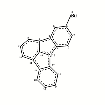 CCC(C)c1ccc2c(c1)c1cccc3c4ccccc4n2c31